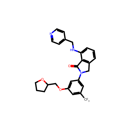 O=C1c2c(cccc2NCc2ccncc2)CN1c1cc(OCC2CCCO2)cc(C(F)(F)F)c1